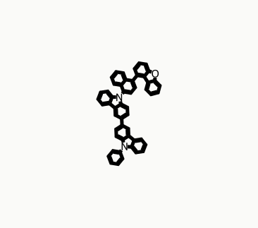 c1ccc(-n2c3ccccc3c3cc(-c4ccc5c(c4)c4ccccc4n5-c4ccc(-c5cccc6oc7ccccc7c56)c5ccccc45)ccc32)cc1